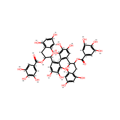 O=C(OC1Cc2c(O)cc(O)cc2OC1c1cc(O)c(O)c(O)c1-c1c(C2Oc3cc(O)cc(O)c3CC2OC(=O)c2cc(O)c(O)c(O)c2)cc(O)c(O)c1O)c1cc(O)c(O)c(O)c1